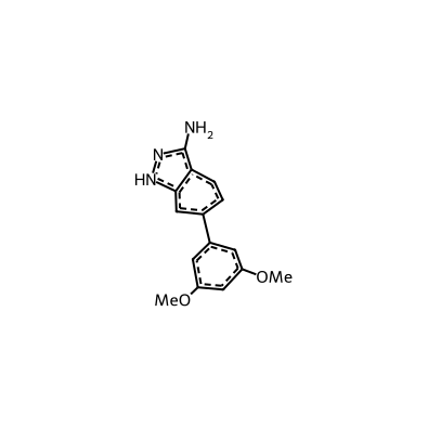 COc1cc(OC)cc(-c2ccc3c(N)n[nH]c3c2)c1